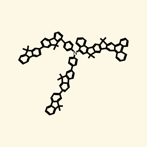 CC1(C)c2ccccc2-c2ccc(-c3ccc4c(c3)C(C)(C)c3cc(-c5ccc(N(c6ccc(-c7cccc8c7C(C)(C)c7cc(-c9ccc%10c(c9)C(C)(C)c9ccccc9-%10)ccc7-8)cc6)c6cc7c(c8ccccc68)-c6cc8c(cc6C7(C)C)-c6cc7c9ccccc9c9ccccc9c7cc6C8(C)C)cc5)ccc3-4)cc21